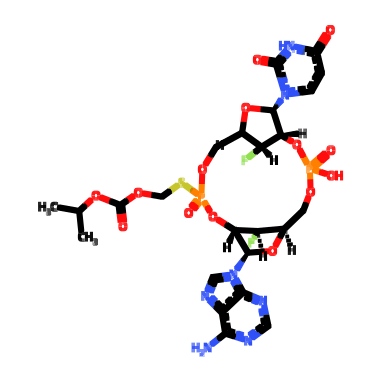 CC(C)OC(=O)OCSP1(=O)OC[C@H]2O[C@@H](n3ccc(=O)[nH]c3=O)[C@H](OP(=O)(O)OC[C@H]3O[C@@H](n4cnc5c(N)ncnc54)[C@H](O1)[C@@H]3F)[C@@H]2F